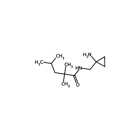 CC(C)CC(C)(C)C(=O)NCC1(N)CC1